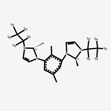 [2H]C([2H])([2H])C([2H])([2H])N1C=CN(c2cc(C)cc(N3C=CN(C([2H])([2H])C([2H])([2H])[2H])[C@H]3C)c2C)[C@H]1C